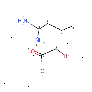 CCCC(N)N.O=C(Cl)CBr